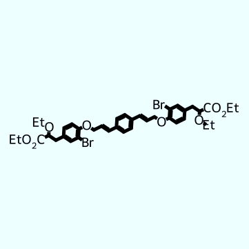 CCOC(=O)C(Cc1ccc(OC/C=C/c2ccc(/C=C/COc3ccc(CC(OCC)C(=O)OCC)cc3Br)cc2)c(Br)c1)OCC